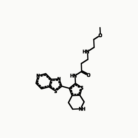 COCCNCCC(=O)Nc1sc2c(c1-c1nc3cnccc3s1)CCNC2